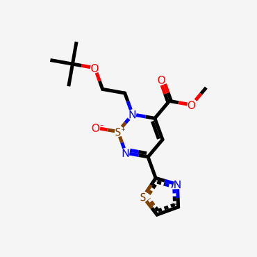 COC(=O)C1=CC(c2nccs2)=N[S+]([O-])N1CCOC(C)(C)C